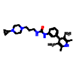 CC1=C(C(=O)O)C(c2cccc(NC(=O)NCCCN3CCN(C4CC4)CC3)c2)C(C(=O)O)=C(C)N1